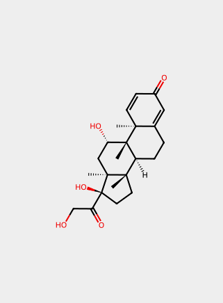 C[C@]12[C@@H](CCC3=CC(=O)C=C[C@@]31C)[C@]1(C)CC[C@](O)(C(=O)CO)[C@@]1(C)C[C@@H]2O